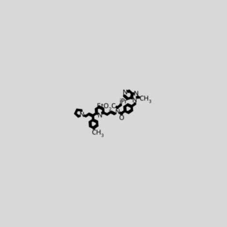 CCOC(=O)C(CC(C)C)N(C=CCc1cccc(C(=CCN2CCCC2)c2ccc(C)cc2)n1)C(=O)c1ccc(Cn2c(C)nc3cnccc32)cc1